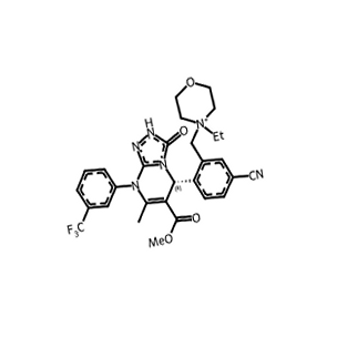 CC[N+]1(Cc2cc(C#N)ccc2[C@@H]2C(C(=O)OC)=C(C)N(c3cccc(C(F)(F)F)c3)c3n[nH]c(=O)n32)CCOCC1